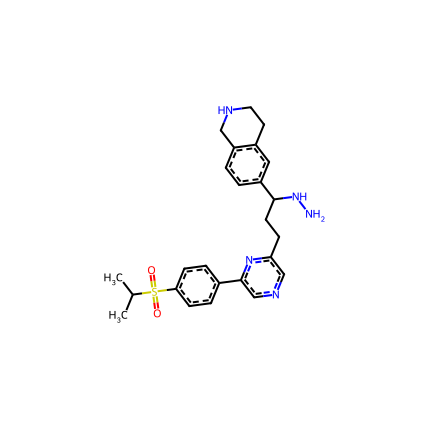 CC(C)S(=O)(=O)c1ccc(-c2cncc(CCC(NN)c3ccc4c(c3)CCNC4)n2)cc1